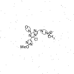 COc1ncc(-c2nc(N3CCOCC3)c3nc(CN4CCN([S+](C)[O-])CC4)cn3c2Cl)cn1